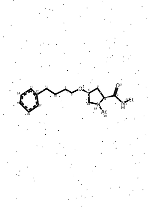 CCNC(=O)[C@@H]1C[C@H](OCCCCc2ccccc2)CN1C(C)=O